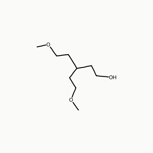 COCCC(CCO)CCOC